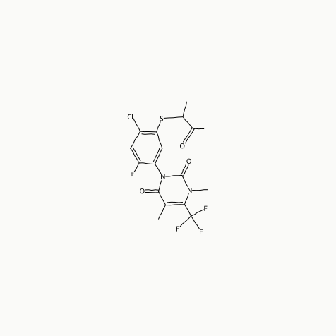 CC(=O)C(C)Sc1cc(-n2c(=O)c(C)c(C(F)(F)F)n(C)c2=O)c(F)cc1Cl